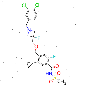 CS(=O)(=O)NC(=O)c1cc(C2CC2)c(COCC2(F)CN(Cc3ccc(Cl)c(Cl)c3)C2)cc1F